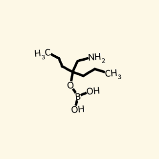 CCCC(CN)(CCC)OB(O)O